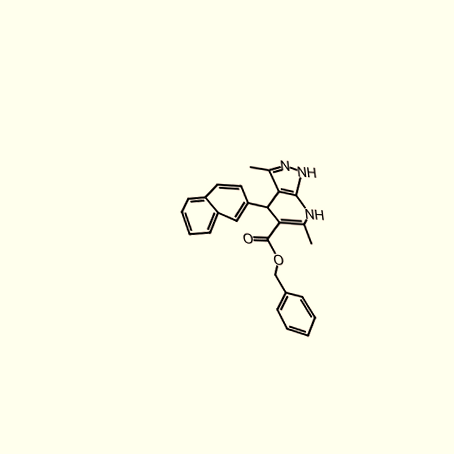 CC1=C(C(=O)OCc2ccccc2)C(c2ccc3ccccc3c2)c2c(C)n[nH]c2N1